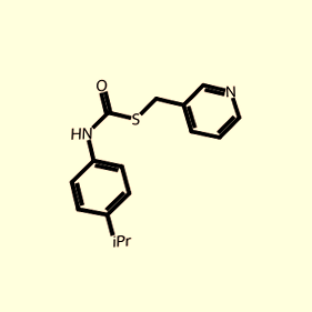 CC(C)c1ccc(NC(=O)SCc2cccnc2)cc1